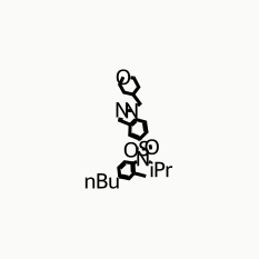 CCCCc1ccc(N(CC(C)C)S(=O)(=O)c2ccc3c(cnn3CC3CCOCC3)c2)c(C)c1